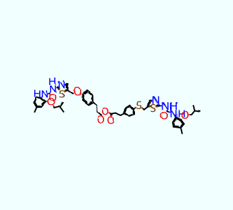 Cc1ccc(NC(=O)Nc2ncc(COc3ccc(CCC(=O)OC(=O)CCc4ccc(SCc5cnc(NC(=O)Nc6ccc(C)cc6OCC(C)C)s5)cc4)cc3)s2)c(OCC(C)C)c1